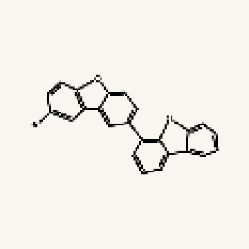 Brc1ccc2oc3ccc(-c4cccc5c4oc4ccccc45)cc3c2c1